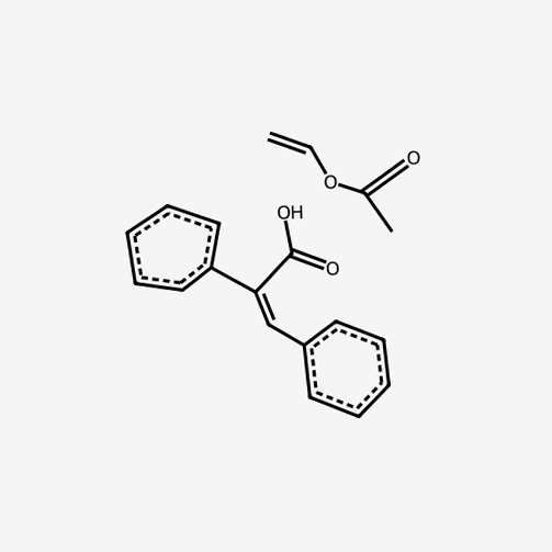 C=COC(C)=O.O=C(O)C(=Cc1ccccc1)c1ccccc1